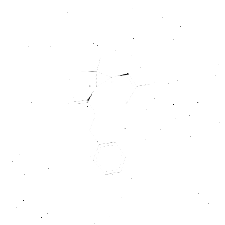 CC1(C)[C@H](C(=O)OCc2ccccc2)[C@@H]1C=C(Br)Br